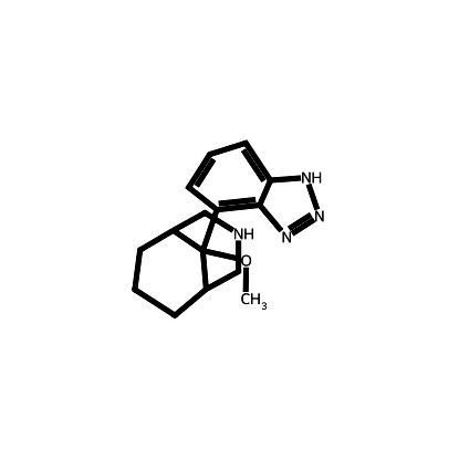 COC1(c2cccc3[nH]nnc23)C2CCCC1CNC2